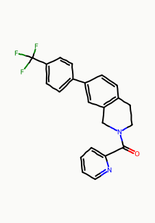 O=C(c1ccccn1)N1CCc2ccc(-c3ccc(C(F)(F)F)cc3)cc2C1